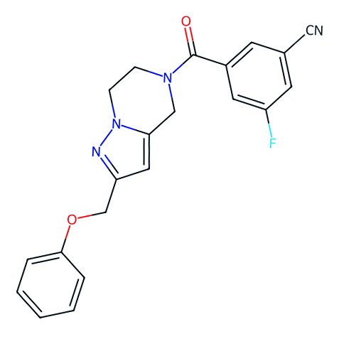 N#Cc1cc(F)cc(C(=O)N2CCn3nc(COc4ccccc4)cc3C2)c1